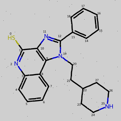 Sc1nc2ccccc2c2c1nc(-c1ccccc1)n2CCC1CCNCC1